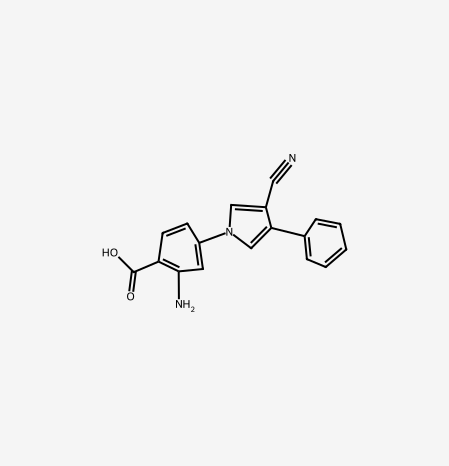 N#Cc1cn(-c2ccc(C(=O)O)c(N)c2)cc1-c1ccccc1